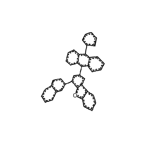 c1ccc(-c2c3ccccc3c(-c3cc(-c4ccc5ccccc5c4)c4oc5ccccc5c4c3)c3ccccc23)cc1